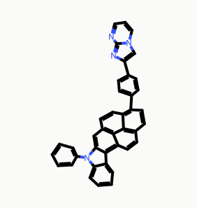 c1ccc(-n2c3ccccc3c3c4ccc5ccc(-c6ccc(-c7cn8cccnc8n7)cc6)c6ccc(cc32)c4c56)cc1